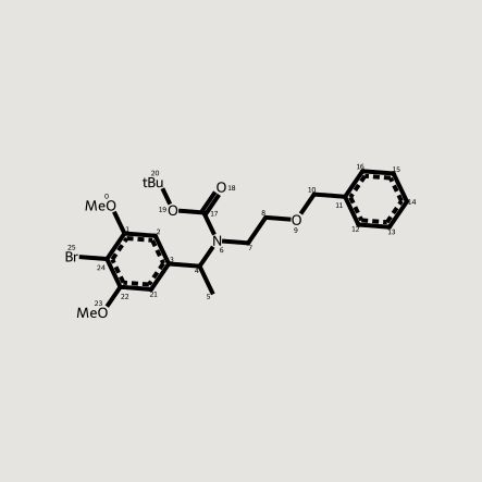 COc1cc(C(C)N(CCOCc2ccccc2)C(=O)OC(C)(C)C)cc(OC)c1Br